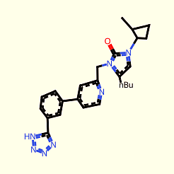 CCCCc1cn(C2CCC2C)c(=O)n1Cc1cc(-c2cccc(-c3nnn[nH]3)c2)ccn1